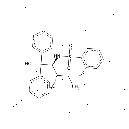 CC[C@H](C)[C@H](NS(=O)(=O)c1ccccc1F)C(O)(c1ccccc1)c1ccccc1